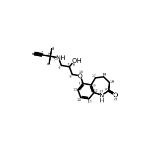 C#CC(C)(C)NCC(O)COc1cccc2c1CCCC(=O)N2